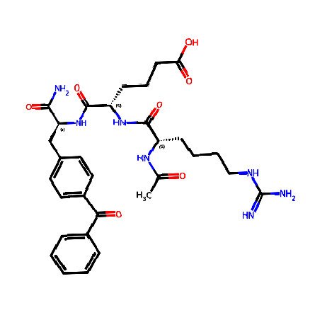 CC(=O)N[C@@H](CCCCNC(=N)N)C(=O)N[C@@H](CCCC(=O)O)C(=O)N[C@@H](Cc1ccc(C(=O)c2ccccc2)cc1)C(N)=O